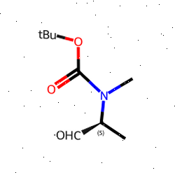 C[C@@H]([C]=O)N(C)C(=O)OC(C)(C)C